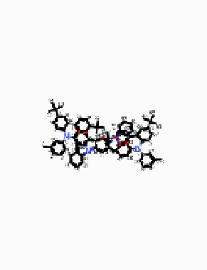 Cc1cccc(N(c2ccc(C(C)(C)C)cc2-c2ccc(C(C)(C)C)cc2)c2ccc3c4cc5c(cc4n4c6ccccc6c2c34)c2ccc(N(c3cccc(C)c3)c3ccc(C(C)(C)C)cc3-c3ccc(C(C)(C)C)cc3)c3c4ccccc4n5c23)c1